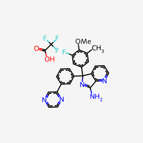 COc1c(C)cc(C2(c3cccc(-c4cnccn4)c3)N=C(N)c3ncccc32)cc1F.O=C(O)C(F)(F)F